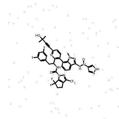 Cn1nc(N[S+]([O-])c2cn[nH]c2)c2cccc(-c3ccc(C#CC(C)(C)O)nc3C(Cc3cc(F)cc(F)c3)NC(=O)n3nc(C(F)(F)F)c4c3C(F)(F)CC4)c21